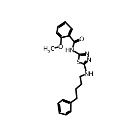 COc1ccccc1C(=O)Nc1nnc(NCCCCc2ccccc2)s1